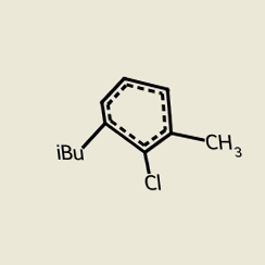 [CH2]C(CC)c1cccc(C)c1Cl